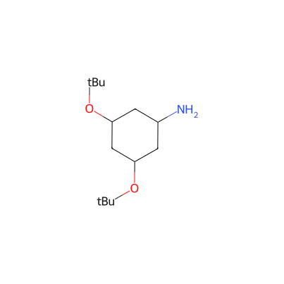 CC(C)(C)OC1CC(N)CC(OC(C)(C)C)C1